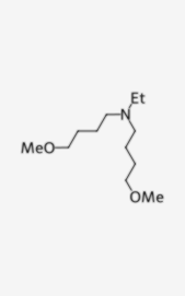 CCN(CCCCOC)CCCCOC